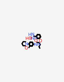 CCCC(Oc1cccc(C(=N)NO)c1)C(=O)Nc1ccc(N2CCCCC2=O)c(C)c1